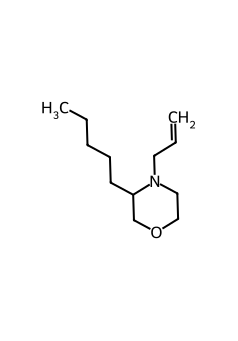 C=CCN1CCOCC1CCCCC